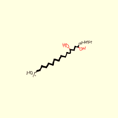 CCCCCCCC(O)CCC(O)CCCCCCCCCCCCC(=O)O